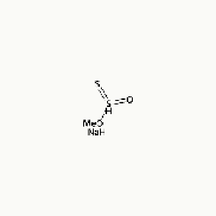 CO[SH](=O)=S.[NaH]